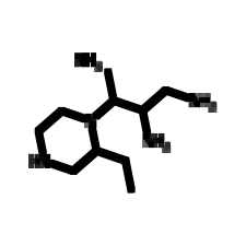 CCC1CNCCN1C(C)C(N)CN.N